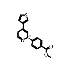 COC(=O)c1ccc([C@@H]2C=C(c3ccsc3)CC=N2)cc1